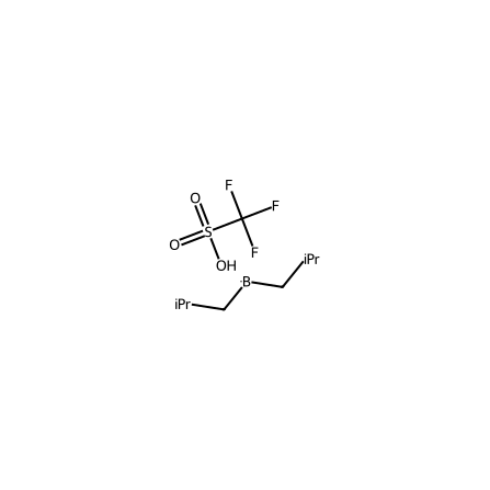 CC(C)C[B]CC(C)C.O=S(=O)(O)C(F)(F)F